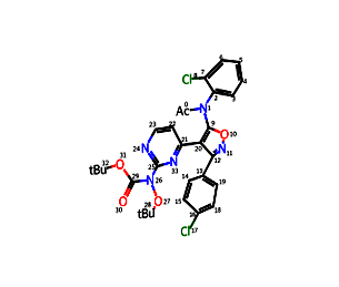 CC(=O)N(c1ccccc1Cl)c1onc(-c2ccc(Cl)cc2)c1-c1ccnc(N(OC(C)(C)C)C(=O)OC(C)(C)C)n1